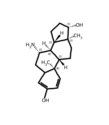 C[C@]12CC[C@H]3[C@@H]([C@@H](N)CC4C=C(O)C=C[C@@]43C)[C@@H]1CC[C@@H]2O